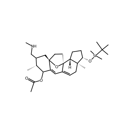 CNCC1C[C@@]23CC[C@@]4(O2)C(=CC[C@]2(C)[C@@H](O[Si](C)(C)C(C)(C)C)CC[C@H]24)C=C3C(OC(C)=O)[C@@H]1C